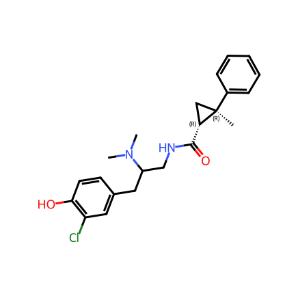 CN(C)C(CNC(=O)[C@@H]1C[C@@]1(C)c1ccccc1)Cc1ccc(O)c(Cl)c1